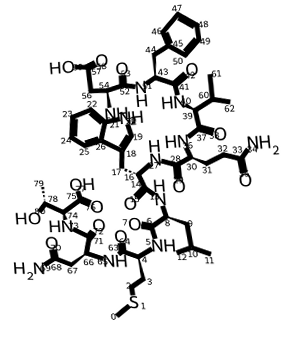 CSCC[C@H](NC(=O)[C@H](CC(C)C)NC(=O)[C@H](Cc1c[nH]c2ccccc12)NC(=O)[C@H](CCC(N)=O)NC(=O)[C@@H](NC(=O)[C@H](Cc1ccccc1)NC(=O)[C@@H](N)CC(=O)O)C(C)C)C(=O)N[C@@H](CC(N)=O)C(=O)N[C@H](C(=O)O)[C@@H](C)O